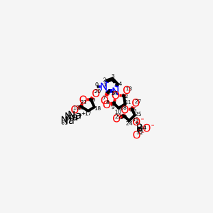 Cn1cccnc1=O.O=C1CCC(=O)O1.O=C1CCC(=O)O1.O=C1CCC(=O)O1.[Na+].[Na+].[Na+].[O-]B([O-])[O-]